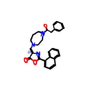 O=C1OC(c2cccc3ccccc23)=N/C1=C\N1CCCN(C(=O)Cc2ccccc2)CC1